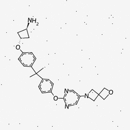 CC(C)(c1ccc(Oc2ncc(N3CC4(COC4)C3)cn2)cc1)c1ccc(O[C@H]2C[C@H](N)C2)cc1